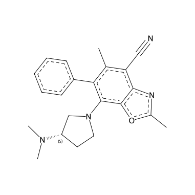 Cc1nc2c(C#N)c(C)c(-c3ccccc3)c(N3CC[C@H](N(C)C)C3)c2o1